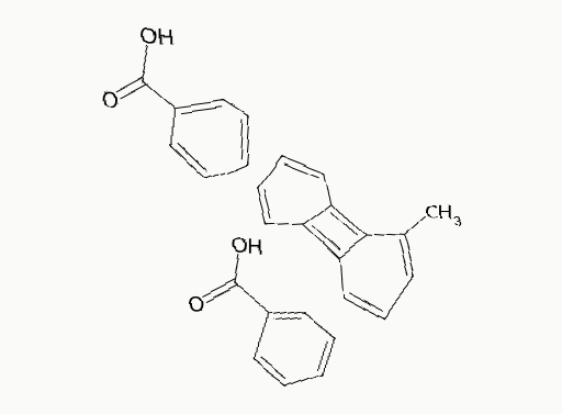 Cc1cccc2c1=c1ccccc1=2.O=C(O)c1ccccc1.O=C(O)c1ccccc1